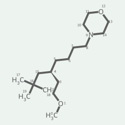 COCC[C@H](CCCCN1CCOCC1)CC(C)(C)C